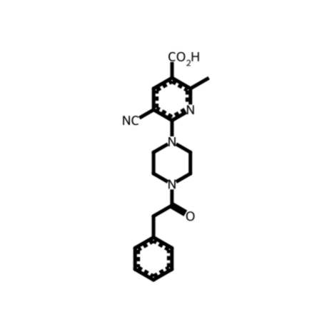 Cc1nc(N2CCN(C(=O)Cc3ccccc3)CC2)c(C#N)cc1C(=O)O